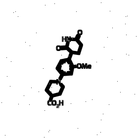 COc1cc(N2CCC(C(=O)O)CC2)ccc1C1CCC(=O)NC1=O